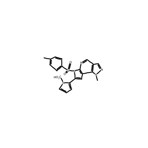 Cc1ccc(S(=O)(=O)n2c(-c3cccn3C(=O)O)cc3c4c(cnc32)cnn4C)cc1